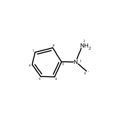 [CH2]N(N)c1ccccc1